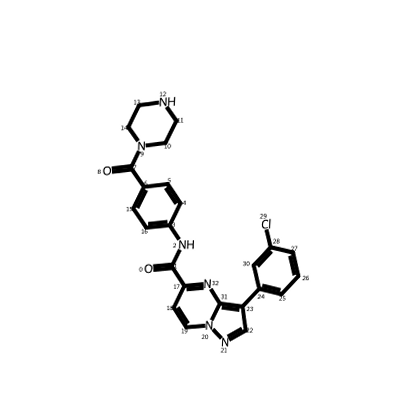 O=C(Nc1ccc(C(=O)N2CCNCC2)cc1)c1ccn2ncc(-c3cccc(Cl)c3)c2n1